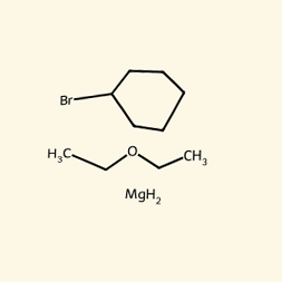 BrC1CCCCC1.CCOCC.[MgH2]